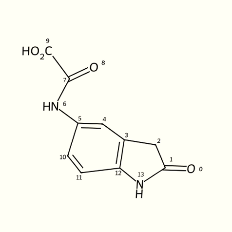 O=C1Cc2cc(NC(=O)C(=O)O)ccc2N1